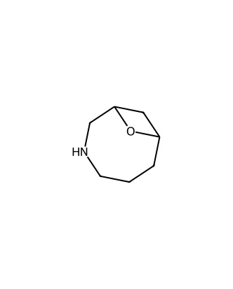 C1CNCC2CC(C1)O2